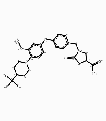 COc1cc(Nc2ccc(CN3CC(C(N)=O)CC3=O)cc2)ccc1N1CCC(C(F)(F)F)CC1